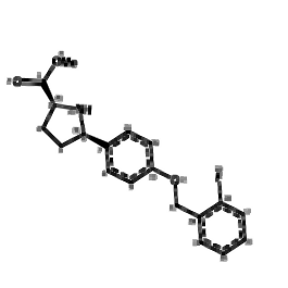 COC(=O)[C@@H]1CC[C@H](c2ccc(OCc3ccccc3F)cc2)N1